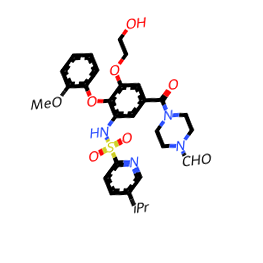 COc1ccccc1Oc1c(NS(=O)(=O)c2ccc(C(C)C)cn2)cc(C(=O)N2CCN(C=O)CC2)cc1OCCO